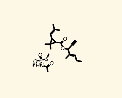 C#CC(OC(=O)[C@@H]1C(C=C(C)C)C1(C)C)/C(C)=C/CC.COP(=O)(NC(C)=O)SC